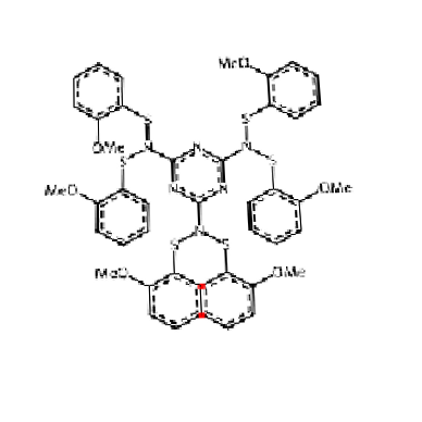 COc1ccccc1SN(Sc1ccccc1OC)c1nc(N(Sc2ccccc2OC)Sc2ccccc2OC)nc(N(Sc2ccccc2OC)Sc2ccccc2OC)n1